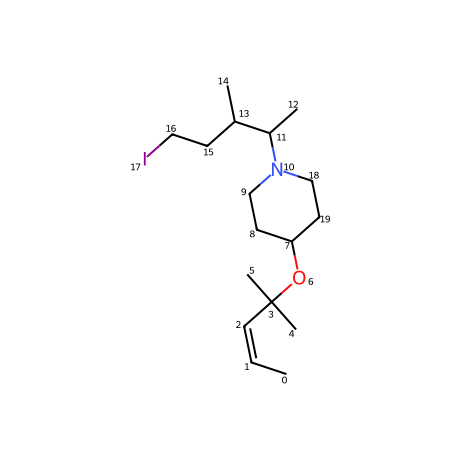 C/C=C\C(C)(C)OC1CCN(C(C)C(C)CCI)CC1